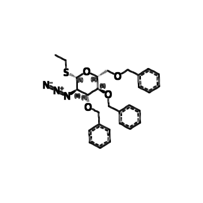 CCS[C@@H]1O[C@H](COCc2ccccc2)[C@@H](OCc2ccccc2)[C@H](OCc2ccccc2)[C@H]1N=[N+]=[N-]